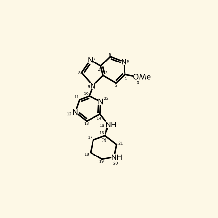 COc1cc2c(cn1)ncn2-c1cncc(N[C@@H]2CCCNC2)n1